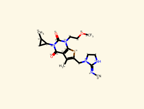 Cc1c(CN2CCN/C2=N\C#N)sc2c1c(=O)n(C1CC1C)c(=O)n2CCOC(F)(F)F